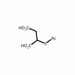 CC(=O)SC(CC(=O)O)C(=O)O